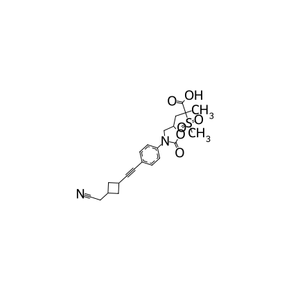 CC(CC1CN(c2ccc(C#CC3CC(CC#N)C3)cc2)C(=O)O1)(C(=O)O)S(C)(=O)=O